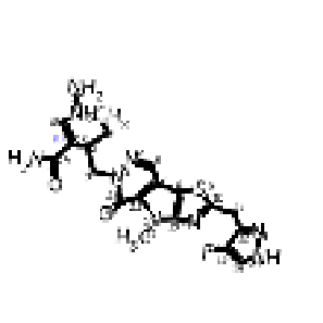 CCC(Cn1ncc2c3sc(Cc4n[nH]cc4F)nc3n(C)c2c1=O)/C(=C\NN)C(N)=O